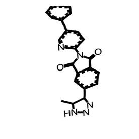 CC1NN=NC1c1ccc2c(c1)C(=O)N(c1ccc(-c3ccccc3)cn1)C2=O